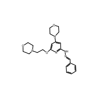 C(=N\Nc1cc(N2CCOCC2)cc(OCCN2CCOCC2)n1)/c1ccccc1